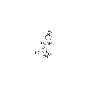 CC(=O)N1CCC(NC(=O)c2cc(O)c(O)c(O)c2)CC1